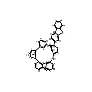 CC1=C2C=CCC1c1cccc3oc4cccc(c4c13)NC1=CCC(c3ccc4c(c3)sc3ccccc34)C(=C1)c1cccc2c1